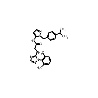 Cc1cccc(C)c1-n1nnnc1CCC(=O)Nc1ccnn1Cc1ccc(C(C)C)cc1